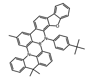 Cc1cc2c3c(c1)N1c4ccccc4C(C)(C)c4cccc(c41)B3N(c1ccc(C(C)(C)C)cc1)c1c-2ccc2c1oc1ccccc12